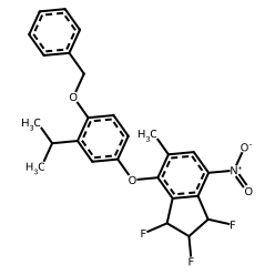 Cc1cc([N+](=O)[O-])c2c(c1Oc1ccc(OCc3ccccc3)c(C(C)C)c1)C(F)C(F)C2F